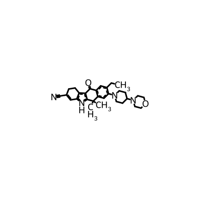 CCc1cc2c(cc1N1CCC(N3CCOCC3)CC1)C(C)(C)c1[nH]c3c(c1C2=O)CCC(C#N)=C3